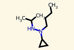 CCCCN(NC(C)C)C1CC1